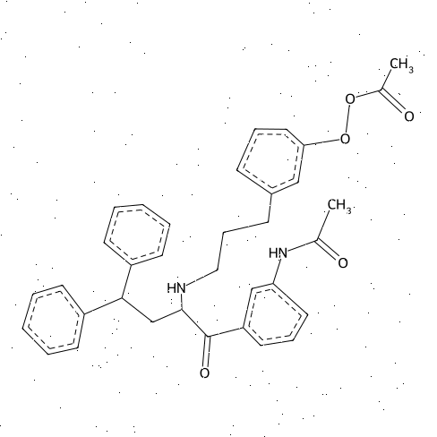 CC(=O)Nc1cccc(C(=O)C(CC(c2ccccc2)c2ccccc2)NCCCc2cccc(OOC(C)=O)c2)c1